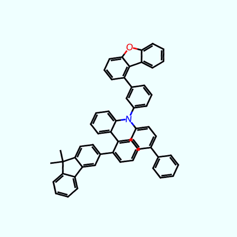 CC1(C)c2ccccc2-c2cc(-c3ccccc3-c3ccccc3N(c3ccc(-c4ccccc4)cc3)c3cccc(-c4cccc5oc6ccccc6c45)c3)ccc21